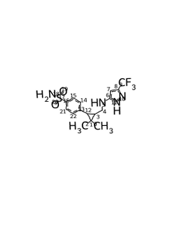 CC1(C)C(CNc2cc(C(F)(F)F)n[nH]2)C1c1ccc(S(N)(=O)=O)cc1